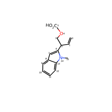 C=CC(COC(=O)O)c1cc2ccccc2n1C